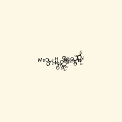 COC(=O)CCNC(=O)[C@@H]1OP(=O)(OCOC(=O)c2cc(C)nn2C)OCC1(C)C